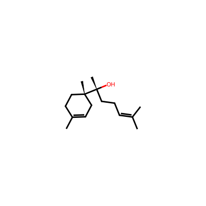 CC(C)=CCC[C@@](C)(O)[C@]1(C)CC=C(C)CC1